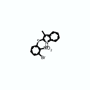 Cc1c(Sc2cccc(Br)c2[N+](=O)[O-])[nH]c2ccccc12